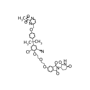 CC(C)(c1ccc(OCc2ccnc(S(C)(=O)=O)n2)cc1)c1cc(Cl)c(OCCOCCOc2ccc3c(c2)C(=O)N(C2CCC(=O)NC2=O)C3=O)c(C#N)c1